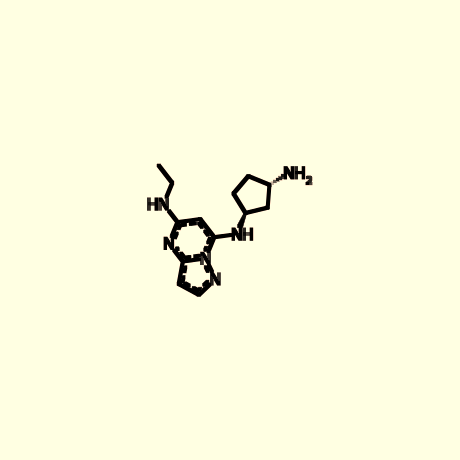 CCNc1cc(N[C@H]2CC[C@H](N)C2)n2nccc2n1